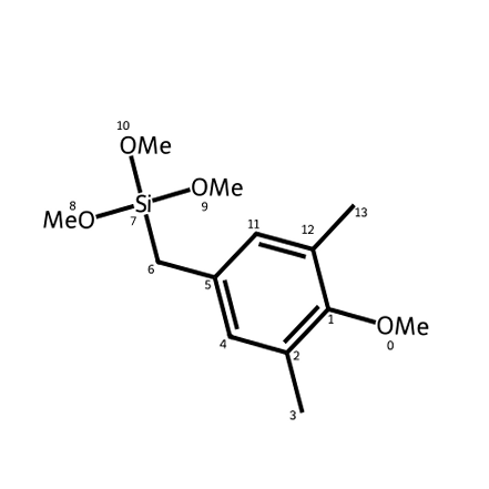 COc1c(C)cc(C[Si](OC)(OC)OC)cc1C